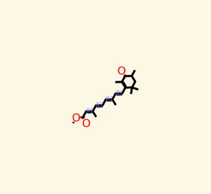 COC(=O)/C=C(C)/C=C/C=C(C)/C=C/C1=C(C)C(=O)C(C)CC1(C)C